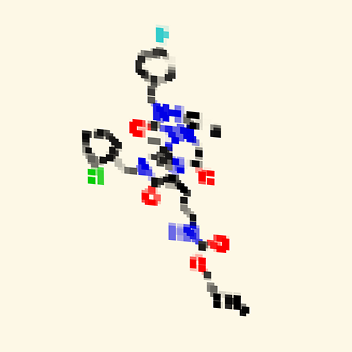 C=CCOC(=O)NCCC[C@H]1C(=O)N(Cc2ccccc2Cl)C[C@H]2N1C(=O)CN(C)N2C(=O)NCc1ccc(F)cc1